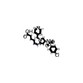 O=C(O)CCC/C=C\[C@@H]1C[C@@H](NS(=O)(=O)c2ccc(Cl)cc2)CN1Cc1ccncc1